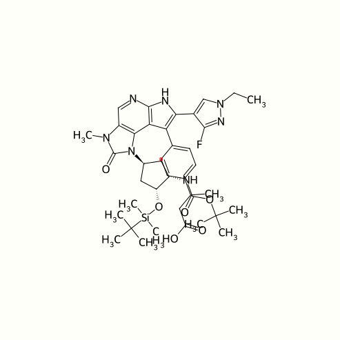 CCn1cc(-c2[nH]c3ncc4c(c3c2-c2ccc(C(C)CC(=O)O)cc2)n([C@H]2C[C@H](NC(=O)OC(C)(C)C)[C@H](O[Si](C)(C)C(C)(C)C)C2)c(=O)n4C)c(F)n1